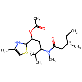 CC[C@H](C)CC(=O)N(C)C(CC(OC(C)=O)C1NC(C)=CS1)C(C)C